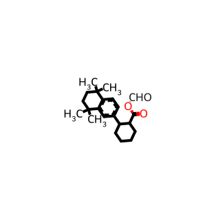 CC1(C)CCC(C)(C)c2cc(C3CCCCC3C(=O)OC=O)ccc21